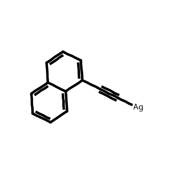 [Ag][C]#Cc1cccc2ccccc12